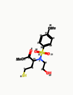 COC(=O)[C@H](CCS)N(CCO)S(=O)(=O)c1ccc(OC)cc1